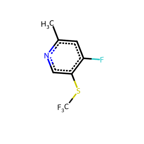 Cc1cc(F)c(SC(F)(F)F)cn1